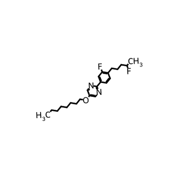 CCCCCCCCOc1cnc(-c2ccc(CCCC(C)F)c(F)c2)nc1